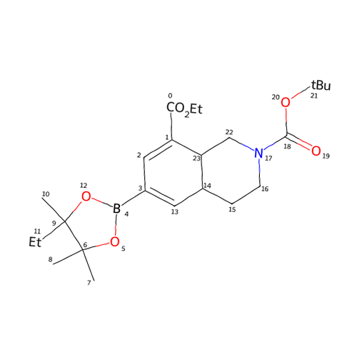 CCOC(=O)C1=CC(B2OC(C)(C)C(C)(CC)O2)=CC2CCN(C(=O)OC(C)(C)C)CC12